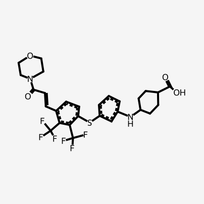 O=C(O)C1CCC(Nc2cccc(Sc3ccc(C=CC(=O)N4CCOCC4)c(C(F)(F)F)c3C(F)(F)F)c2)CC1